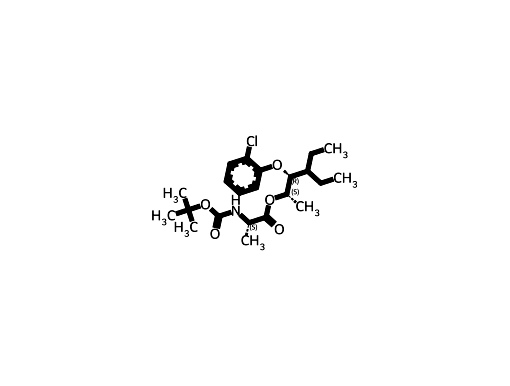 CCC(CC)[C@@H](Oc1ccccc1Cl)[C@H](C)OC(=O)[C@H](C)NC(=O)OC(C)(C)C